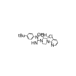 C[C@H]1CN(c2ncccc2Cl)CCN1C(=N)N(O)c1ccc(C(C)(C)C)cc1